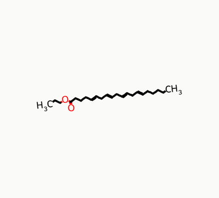 CCCCCC=CCC=CCC=CCC=CCCCC(=O)OCCC